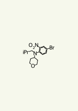 CC(C)CN(c1ccc(Br)cc1[N+](=O)[O-])C1CCOCC1